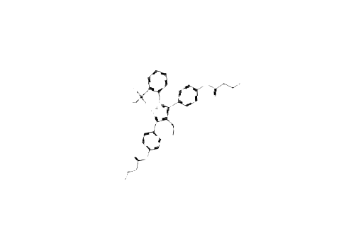 CCCC(=O)Oc1ccc(-c2nn(-c3ccccc3C(F)(F)F)c(-c3ccc(OC(=O)CCC)cc3)c2CC)cc1